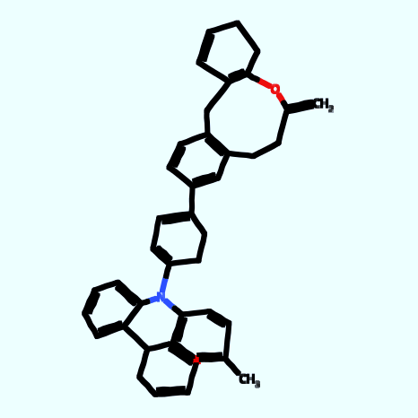 C=C1CCc2cc(C3=CC=C(N(c4ccc(C)cc4)c4ccccc4C4C=CC=CC4)CC3)ccc2CC2=C(CCC=C2)O1